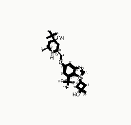 C[C@H]1C[C@@](O)(C(C)(C)C)C[C@@H](COc2cc(C(F)(F)F)c3c(c2)ncn3C2CC(C)(O)C2)N1